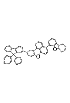 c1ccc(C2(c3ccccc3)c3ccccc3-c3ccc(-c4ccc5c(c4)-c4cccc6c(-c7cccc8c7oc7ccccc78)ccc(c46)O5)cc32)cc1